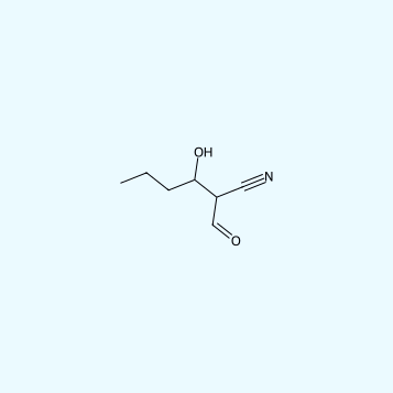 CCCC(O)C(C#N)C=O